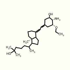 CCO[C@@H]1C/C(=C\C=C2/CCC[C@@]3(C)C2CCC3C(C)CCCC(C)(C)O)C[C@@H](O)[C@@H]1N